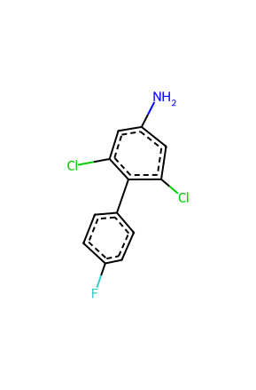 Nc1cc(Cl)c(-c2ccc(F)cc2)c(Cl)c1